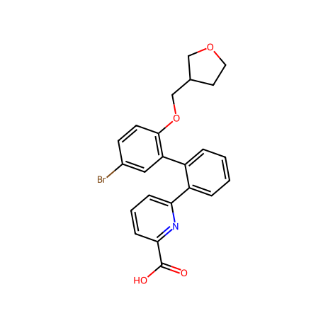 O=C(O)c1cccc(-c2ccccc2-c2cc(Br)ccc2OCC2CCOC2)n1